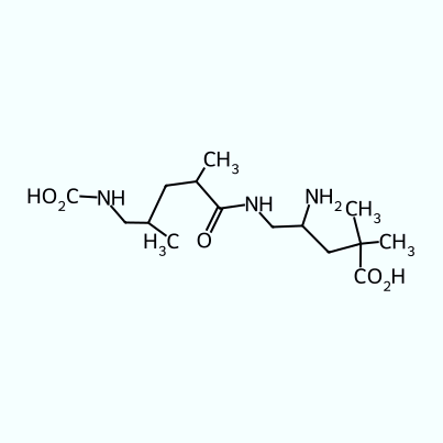 CC(CNC(=O)O)CC(C)C(=O)NCC(N)CC(C)(C)C(=O)O